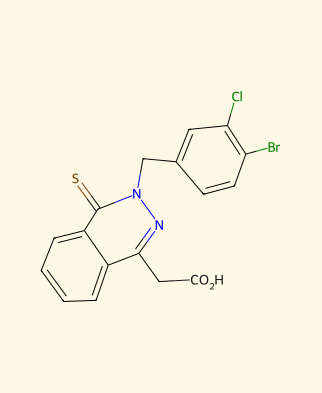 O=C(O)Cc1nn(Cc2ccc(Br)c(Cl)c2)c(=S)c2ccccc12